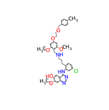 COc1cc2ncnc(Nc3cc(Cl)ccc3CCCNCc3c(OC)cc(OCCOCc4ccc(C)cc4)cc3OC)c2cc1O